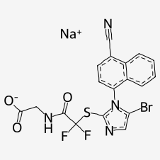 N#Cc1ccc(-n2c(Br)cnc2SC(F)(F)C(=O)NCC(=O)[O-])c2ccccc12.[Na+]